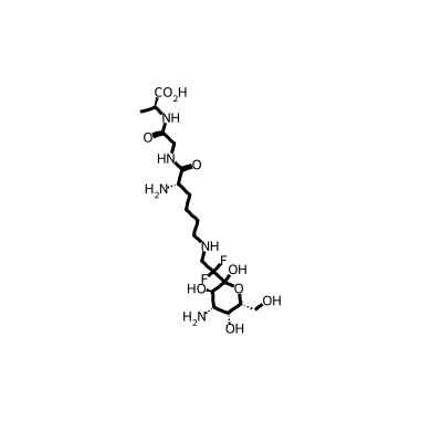 C[C@H](NC(=O)CNC(=O)[C@@H](N)CCCCNCC(F)(F)C1(O)O[C@H](CO)[C@H](O)[C@H](N)[C@H]1O)C(=O)O